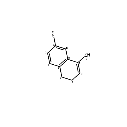 N#CC1=CCCc2ccc(F)cc21